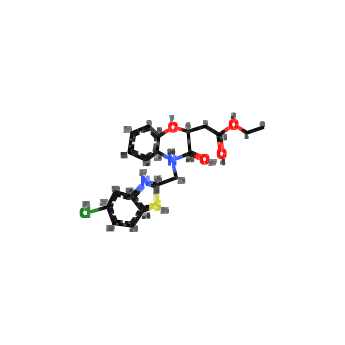 CCOC(=O)CC1Oc2ccccc2N(Cc2nc3cc(Cl)ccc3s2)C1=O